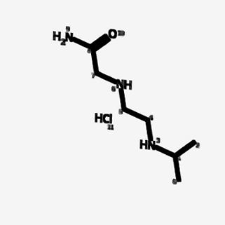 CC(C)NCCNCC(N)=O.Cl